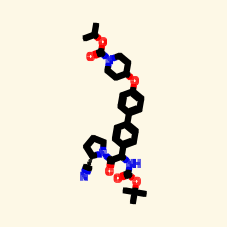 CC(C)OC(=O)N1CCC(Oc2ccc(-c3ccc(C(NC(=O)OC(C)(C)C)C(=O)N4CCC[C@H]4C#N)cc3)cc2)CC1